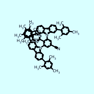 Cc1cc(C)c(-c2ccc3c4ccc(-c5c(C)cc(C)cc5C)cc4n(-c4cc(C#N)cc(-n5c6cc(-c7c(C)cc(C)cc7C)ccc6c6ccc(-c7c(C)cc(C)cc7C)cc65)c4-c4nc(C)cc(C)n4)c3c2)c(C)c1